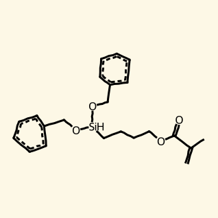 C=C(C)C(=O)OCCCC[SiH](OCc1ccccc1)OCc1ccccc1